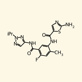 Cc1cc(F)c(C(=O)Nc2cnn(C(C)C)n2)cc1NC(=O)c1cnc(N)s1